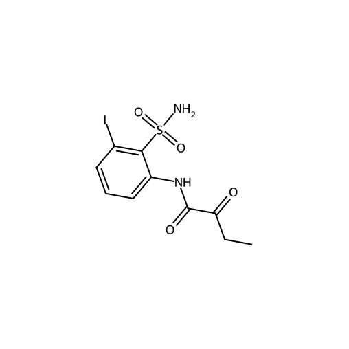 CCC(=O)C(=O)Nc1cccc(I)c1S(N)(=O)=O